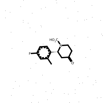 Cc1cc(F)ccc1[C@H]1CC(=O)CCN1C(=O)O